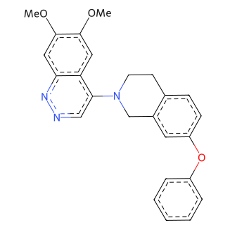 COc1cc2nncc(N3CCc4ccc(Oc5ccccc5)cc4C3)c2cc1OC